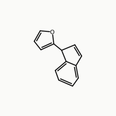 C1=CC(c2ccco2)c2ccccc21